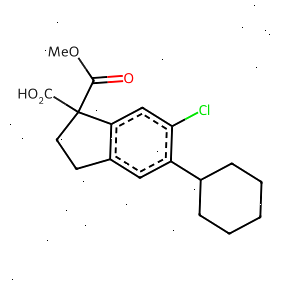 COC(=O)C1(C(=O)O)CCc2cc(C3CCCCC3)c(Cl)cc21